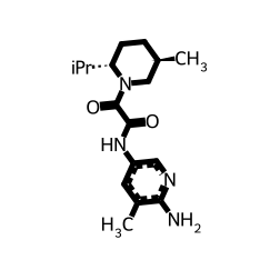 Cc1cc(NC(=O)C(=O)N2C[C@H](C)CC[C@H]2C(C)C)cnc1N